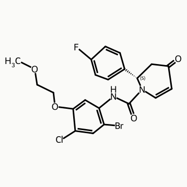 COCCOc1cc(NC(=O)N2C=CC(=O)C[C@H]2c2ccc(F)cc2)c(Br)cc1Cl